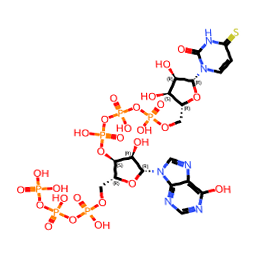 O=c1[nH]c(=S)ccn1[C@@H]1O[C@H](COP(=O)(O)OP(=O)(O)OP(=O)(O)O[C@H]2[C@@H](O)[C@H](n3cnc4c(O)ncnc43)O[C@@H]2COP(=O)(O)OP(=O)(O)OP(=O)(O)O)[C@@H](O)[C@H]1O